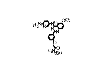 CCOc1ccc2nc(-c3cccc(OCC(=O)NC(C)(C)C)c3)nc(Nc3ccc(N)nc3)c2c1